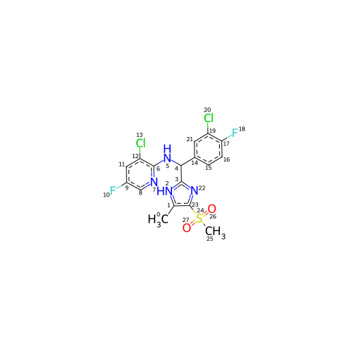 Cc1[nH]c(C(Nc2ncc(F)cc2Cl)c2ccc(F)c(Cl)c2)nc1S(C)(=O)=O